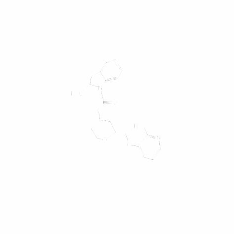 Cc1ncccc1OC[C@H]1CN(CC(=O)N2c3ccccc3CC2C)CCO1